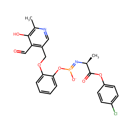 Cc1ncc(COc2ccccc2O[P+]([O-])=N[C@@H](C)C(=O)Oc2ccc(Cl)cc2)c(C=O)c1O